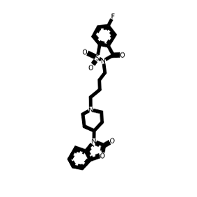 O=C1c2cc(F)ccc2S(=O)(=O)N1CCCCN1CCC(n2c(=O)oc3ccccc32)CC1